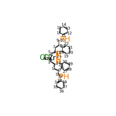 C(=CC(=[CH][Zr+2][CH]=C(C=CCPc1ccccc1)Pc1ccccc1)Pc1ccccc1)CPc1ccccc1.[Cl-].[Cl-]